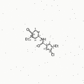 CCc1cc(C(=O)Nc2ccc(=O)n(CC)c2)sc1Cl